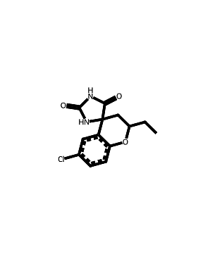 CCC1CC2(NC(=O)NC2=O)c2cc(Cl)ccc2O1